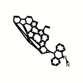 C=Cc1c2ccc3c4c5c6c7c8c9c%10c%11c%12c(cc%11c1c1c2c3c5c8c%101)C=CC1C%12C=9C2C1C=CC(C=6C1C4C1C1c3ccccc3C(=NC#N)c3ccccc31)C72